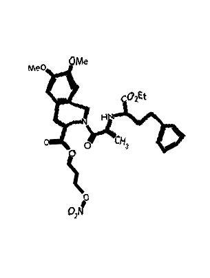 CCOC(=O)C(CCc1ccccc1)NC(C)C(=O)N1Cc2cc(OC)c(OC)cc2CC1C(=O)OCCCO[N+](=O)[O-]